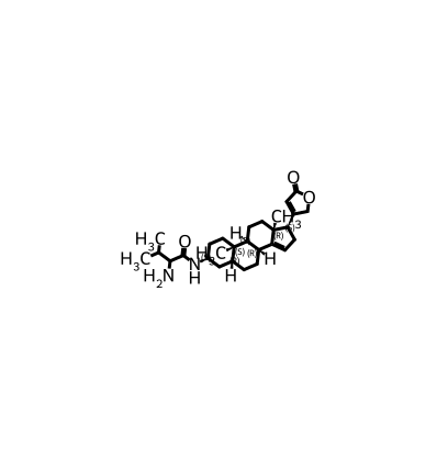 CC(C)C(N)C(=O)N[C@H]1CC[C@@]2(C)[C@H](CC[C@H]3C4=CC[C@H](C5=CC(=O)OC5)[C@@]4(C)CC[C@@H]32)C1